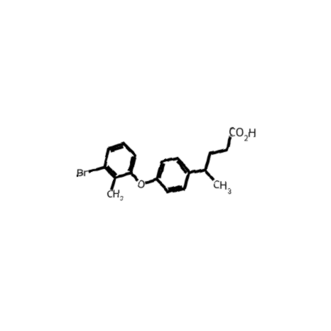 Cc1c(Br)cccc1Oc1ccc(C(C)CCC(=O)O)cc1